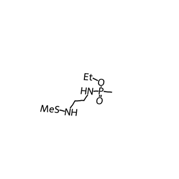 CCOP(C)(=O)NCCNSC